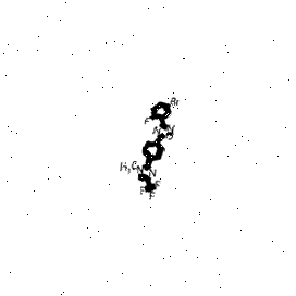 Cn1cc(C(F)(F)F)nc1-c1ccc(-c2nc(-c3cc(Br)ccc3F)no2)cc1